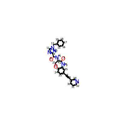 CN1C(=O)[C@@H](N(C)C(=O)c2ncn(Cc3ccccc3)n2)COc2ccc(C#Cc3cccnc3)cc21